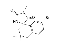 CN1C(=O)NC2(CC(C)(C)Cc3ccc(Br)cc32)C1=O